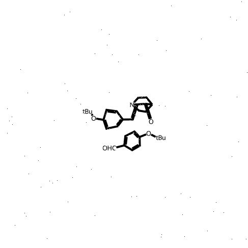 CC(C)(C)Oc1ccc(C=C2C(=O)C3CCN2CC3)cc1.CC(C)(C)Oc1ccc(C=O)cc1